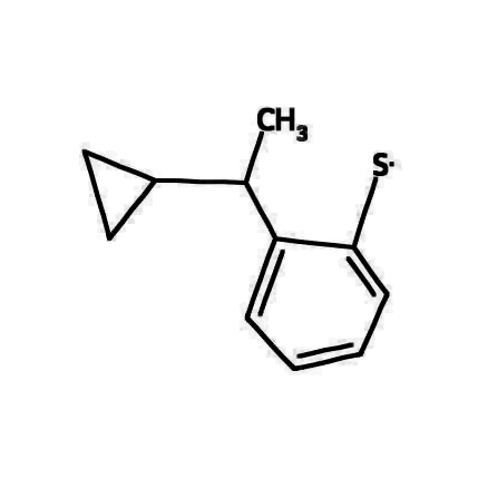 CC(c1ccccc1[S])C1CC1